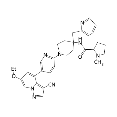 CCOc1cc(-c2ccc(N3CCC(Cc4ccccn4)(NC(=O)[C@H]4CCCN4C)CC3)nc2)c2c(C#N)cnn2c1